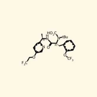 C[C@@H](NC(=O)[C@@H](Cc1ccccc1OC(F)(F)F)N(C(=O)O)C(C)(C)C)c1ccc(OCC(F)(F)F)cn1